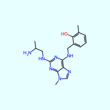 Cc1cccc(CNc2nc(NCC(C)N)nc3c2ncn3C)c1O